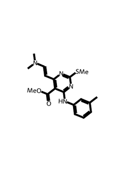 COC(=O)c1c(C=CN(C)C)nc(SC)nc1Nc1cccc(C)c1